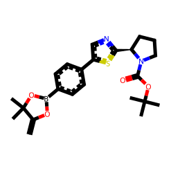 C=C1OB(c2ccc(-c3cnc([C@H]4CCCN4C(=O)OC(C)(C)C)s3)cc2)OC1(C)C